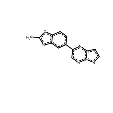 Nc1nc2cc(-c3cnn4nccc4n3)ccc2o1